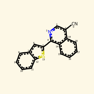 N#Cc1cnc(-c2cc3ccccc3s2)c2ccccc12